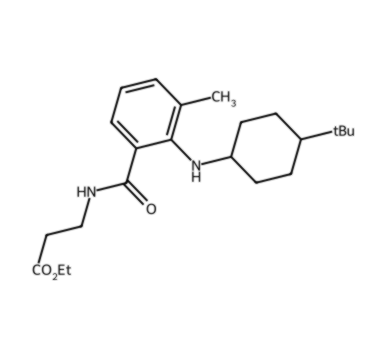 CCOC(=O)CCNC(=O)c1cccc(C)c1NC1CCC(C(C)(C)C)CC1